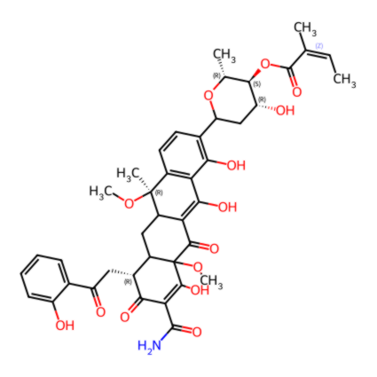 C/C=C(/C)C(=O)O[C@H]1[C@H](O)CC(c2ccc3c(c2O)C(O)=C2C(=O)C4(OC)C(O)=C(C(N)=O)C(=O)[C@H](CC(=O)c5ccccc5O)C4CC2[C@@]3(C)OC)O[C@@H]1C